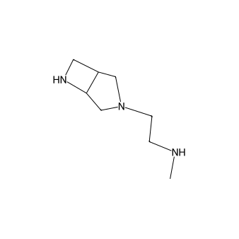 CNCCN1CC2CNC2C1